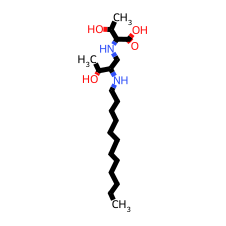 CCCCCCCCCCCCNC(CNC(C(=O)O)C(C)O)C(C)O